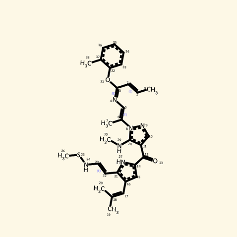 C/C=C/C(=N\C=C(/C)n1ncc(C(=O)c2cc(C=C(C)C)c(/C=C/NSC)[nH]2)c1NC)Oc1ccccc1C